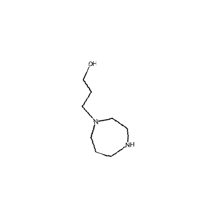 OCCCN1CCCNCC1